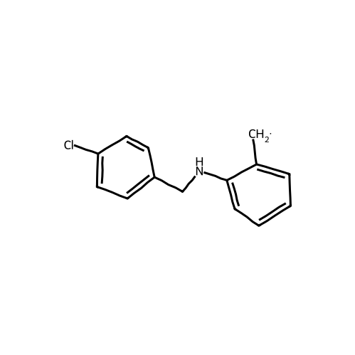 [CH2]c1ccccc1NCc1ccc(Cl)cc1